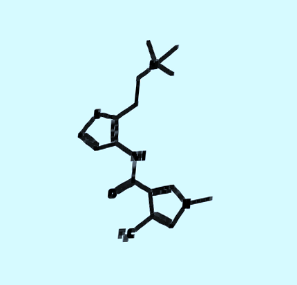 Cn1cc(C(=O)Nc2ccsc2CC[Si](C)(C)C)c(C(F)(F)F)c1